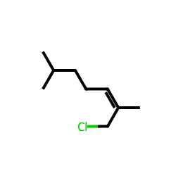 CC(=CCCC(C)C)CCl